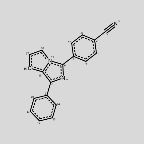 N#Cc1ccc(-c2nc(-c3ccccc3)c3occn23)cc1